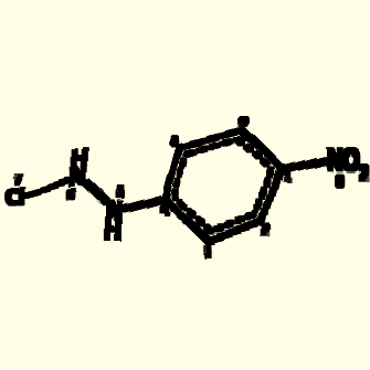 O=[N+]([O-])c1ccc(NNCl)cc1